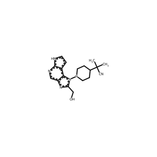 CC(C)(C#N)C1CCN(n2c(CO)nc3cnc4[nH]ccc4c32)CC1